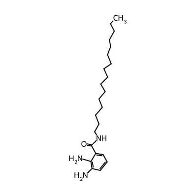 CCCCCCCCCCCCCCCCNC(=O)c1cccc(N)c1N